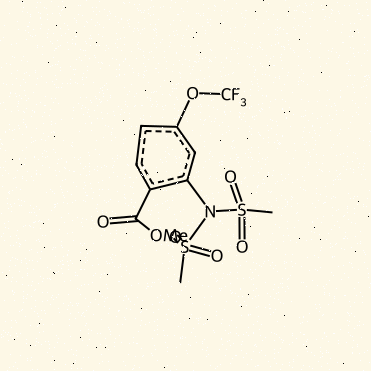 COC(=O)c1ccc(OC(F)(F)F)cc1N(S(C)(=O)=O)S(C)(=O)=O